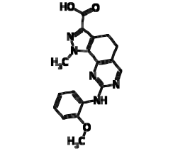 COc1ccccc1Nc1ncc2c(n1)-c1c(c(C(=O)O)nn1C)CC2